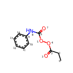 CCC(=O)OOC(=O)Nc1ccccc1